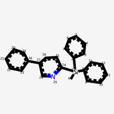 C[Si](c1ccccc1)(c1ccccc1)c1ccc(-c2ccccc2)cn1